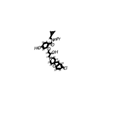 CCCN(CC1CC1)C(=O)c1ccc(O)cc1OC[C@H](O)CN1CCC2(CC1)Cc1cc(Cl)ccc1O2